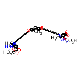 Cc1c(N)c2c3c(ccc2n1CCCCCCCCCCCCOc1ccc(C(C)(C)c2ccc(OCCCCCCCCCCCCn4c(C)c(N)c5c(OCC(=O)O)c6c(=O)c(=O)c6cc54)cc2)cc1)C(=O)C(=O)C(C(=O)O)O3